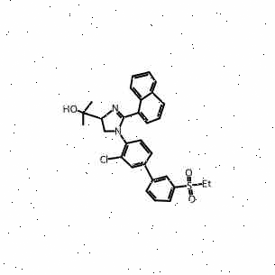 CCS(=O)(=O)c1cccc(-c2ccc(N3CC(C(C)(C)O)N=C3c3cccc4ccccc34)c(Cl)c2)c1